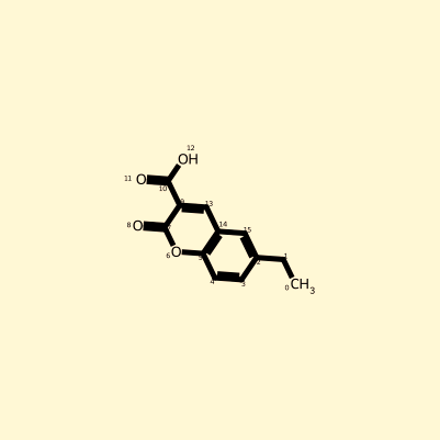 CCc1ccc2oc(=O)c(C(=O)O)cc2c1